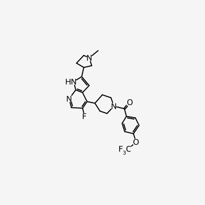 CN1CCC(c2cc3c(C4CCN(C(=O)c5ccc(OC(F)(F)F)cc5)CC4)c(F)cnc3[nH]2)C1